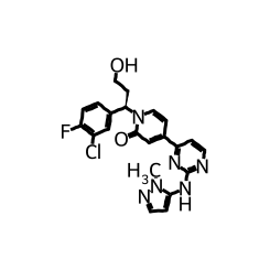 Cn1nccc1Nc1nccc(-c2ccn([C@H](CCO)c3ccc(F)c(Cl)c3)c(=O)c2)n1